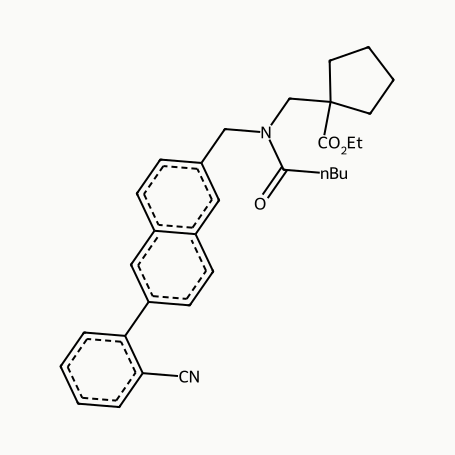 CCCCC(=O)N(Cc1ccc2cc(-c3ccccc3C#N)ccc2c1)CC1(C(=O)OCC)CCCC1